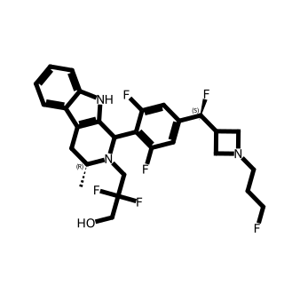 C[C@@H]1Cc2c([nH]c3ccccc23)C(c2c(F)cc([C@@H](F)C3CN(CCCF)C3)cc2F)N1CC(F)(F)CO